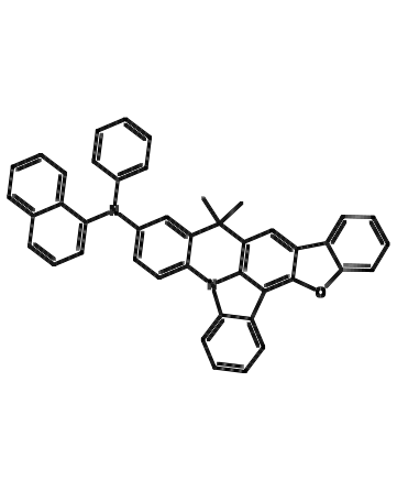 CC1(C)c2cc(N(c3ccccc3)c3cccc4ccccc34)ccc2-n2c3ccccc3c3c4oc5ccccc5c4cc1c32